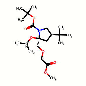 COC(=O)COC[C@@]1(O[SiH](C)C)C[C@H](C(C)(C)C)CN1C(=O)OC(C)(C)C